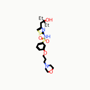 CCC(O)(CC)Cc1csc(NS(=O)(=O)c2cccc(OCCCN3CCOCC3)c2)n1